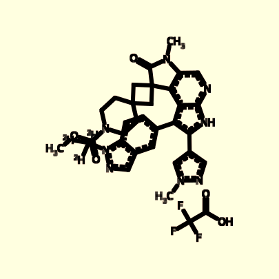 O=C(O)C(F)(F)F.[2H]C([2H])([2H])n1ncc2cc(-c3c(-c4cnn(C)c4)[nH]c4ncc5c(c34)C3(CC4(CCN(C(=O)OC)CC4)C3)C(=O)N5C)ccc21